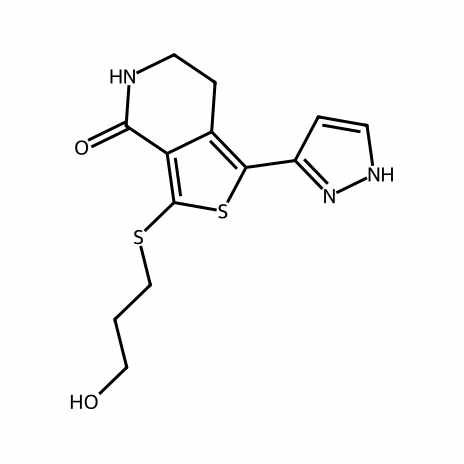 O=C1NCCc2c(-c3cc[nH]n3)sc(SCCCO)c21